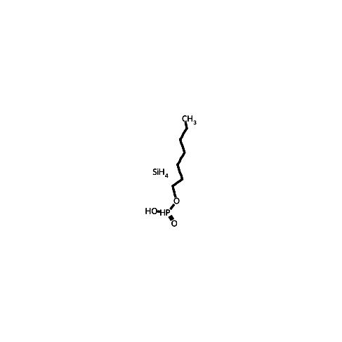 CCCCCCCO[PH](=O)O.[SiH4]